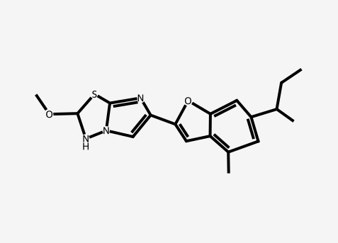 CCC(C)c1cc(C)c2cc(-c3cn4c(n3)SC(OC)N4)oc2c1